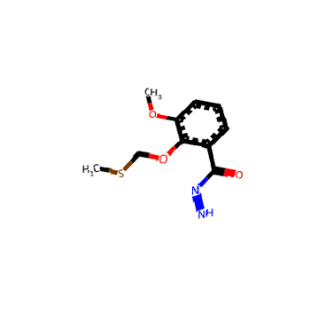 COc1cccc(C(=O)N=N)c1OCSC